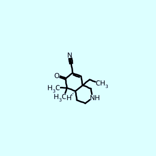 CCC12C=C(C#N)C(=O)C(C)(C)[C@@H]1CCNC2